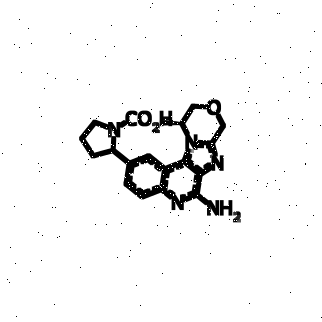 C[C@H]1COCc2nc3c(N)nc4ccc(C5CCCN5C(=O)O)cc4c3n21